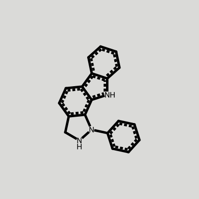 c1ccc(N2NCc3ccc4c([nH]c5ccccc54)c32)cc1